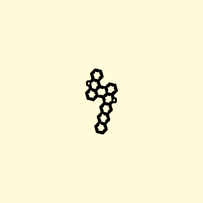 c1ccc2cc3cc4c(cc3cc2c1)oc1cccc2c1c4c1cccc3oc4ccccc4c2c31